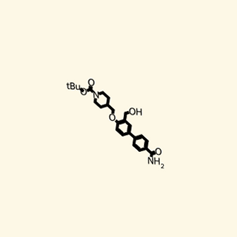 CC(C)(C)OC(=O)N1CCC(COc2ccc(-c3ccc(C(N)=O)cc3)cc2CO)CC1